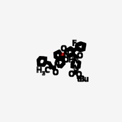 CC(CC1CCCCC1)C(=O)N1CCC(O)(Cn2cc(C(=O)N3CCN(C(=O)OC(C)(C)C)CC3)c(-c3ccccc3F)cc2=O)C2(CCCC2)C1